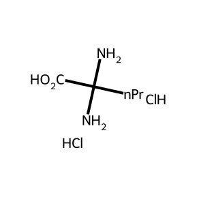 CCCC(N)(N)C(=O)O.Cl.Cl